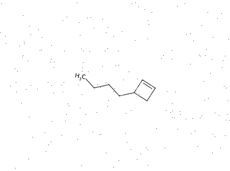 CCCCC1C=CC1